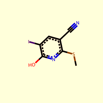 CSc1nc(O)c(I)cc1C#N